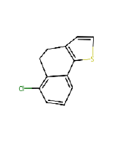 Clc1cccc2c1CCc1ccsc1-2